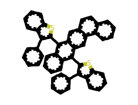 c1ccc(-c2c(-c3c4ccccc4c(-c4sc5ccccc5c4-c4ccccc4)c4cc5c(ccc6ccccc65)cc34)sc3ccccc23)cc1